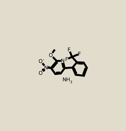 COc1nc(-c2ccccc2C(F)(F)F)ccc1[N+](=O)[O-].N